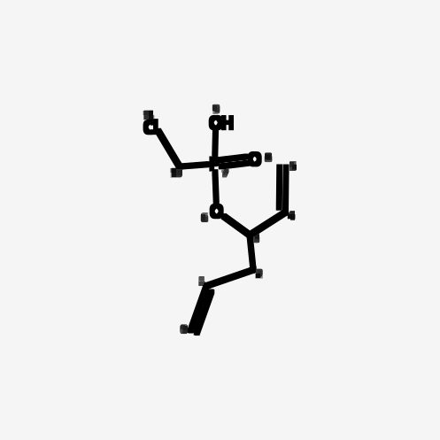 C=CCC(C=C)OP(=O)(O)CCl